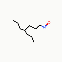 CCCC(CCC)CCCN=O